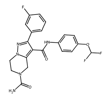 NC(=O)N1CCn2nc(-c3cccc(F)c3)c(C(=O)Nc3ccc(OC(F)F)cc3)c2C1